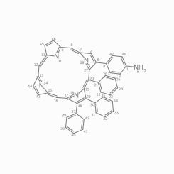 Nc1ccc(C2=CC3=CC4=NC(=CC5=NC(=CC6=NC(=C(c7ccccc7)C2=N3)C(c2ccccc2)=C6c2ccccc2)C=C5)C=C4)cc1